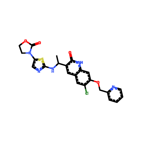 CC(Nc1ncc(N2CCOC2=O)s1)c1cc2cc(Cl)c(OCc3ccccn3)cc2[nH]c1=O